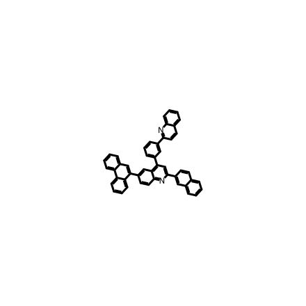 c1cc(-c2ccc3ccccc3n2)cc(-c2cc(-c3ccc4ccccc4c3)nc3ccc(-c4cc5ccccc5c5ccccc45)cc23)c1